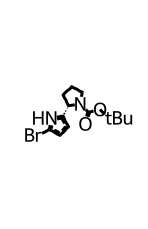 CC(C)(C)OC(=O)N1CCC[C@H]1c1ccc(Br)[nH]1